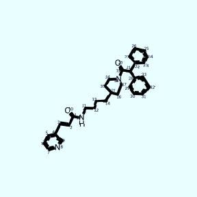 O=C(C=Cc1cccnc1)NCCCCC1CCN(C(=O)C(c2ccccc2)c2ccccc2)CC1